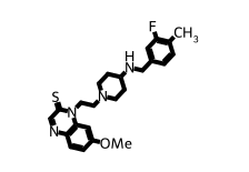 COc1ccc2ncc(=S)n(CCN3CCC(NCc4ccc(C)c(F)c4)CC3)c2c1